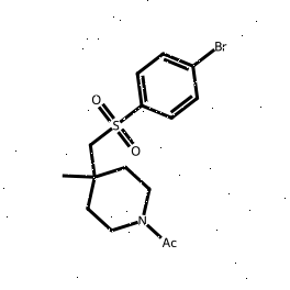 CC(=O)N1CCC(C)(CS(=O)(=O)c2ccc(Br)cc2)CC1